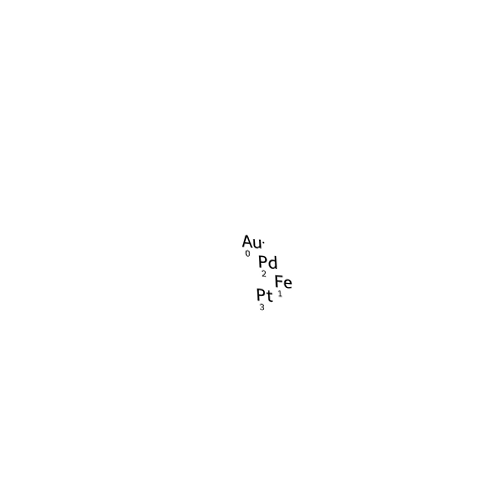 [Au].[Fe].[Pd].[Pt]